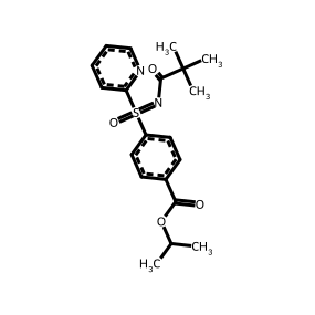 CC(C)OC(=O)c1ccc(S(=O)(=NC(=O)C(C)(C)C)c2ccccn2)cc1